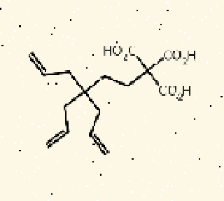 C=CCC(CC=C)(CC=C)CCC(C(=O)O)(C(=O)O)C(=O)O